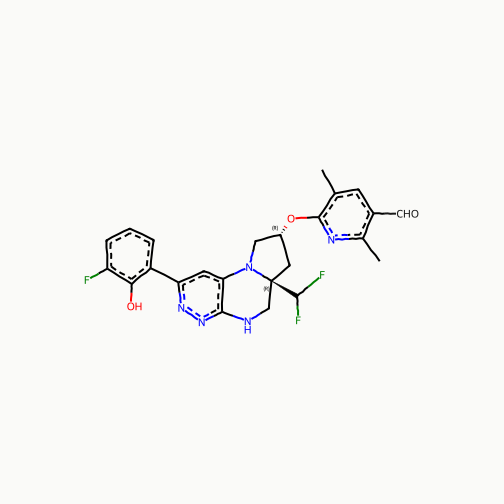 Cc1cc(C=O)c(C)nc1O[C@H]1CN2c3cc(-c4cccc(F)c4O)nnc3NC[C@@]2(C(F)F)C1